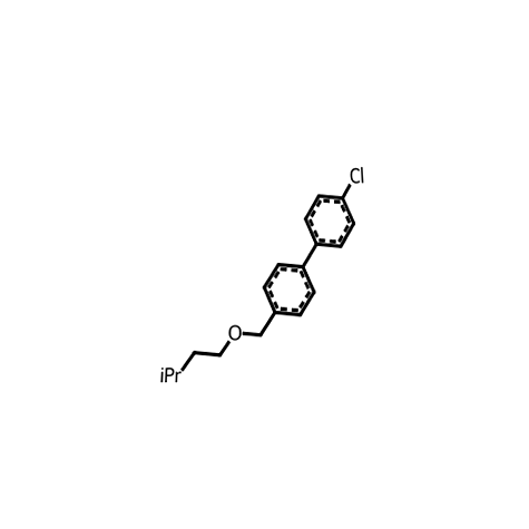 CC(C)CCOCc1ccc(-c2ccc(Cl)cc2)cc1